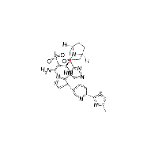 Cc1csc(-c2ccc(-c3cnn4c(N)c(S(C)(=O)=O)c([C@H]5C[C@H]6CC[C@@H](C5)N6C(=O)c5nnc[nH]5)nc34)cn2)n1